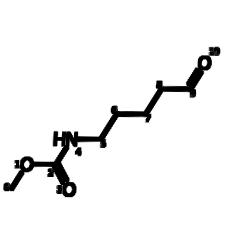 COC(=O)NCCCCC=O